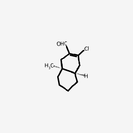 C[C@@]12CCCC[C@@H]1CC(Cl)=C(C=O)C2